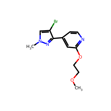 COCCOc1cc(-c2nn(C)cc2Br)ccn1